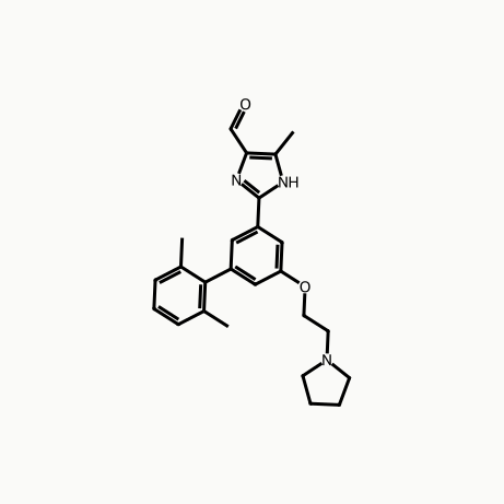 Cc1cccc(C)c1-c1cc(OCCN2CCCC2)cc(-c2nc(C=O)c(C)[nH]2)c1